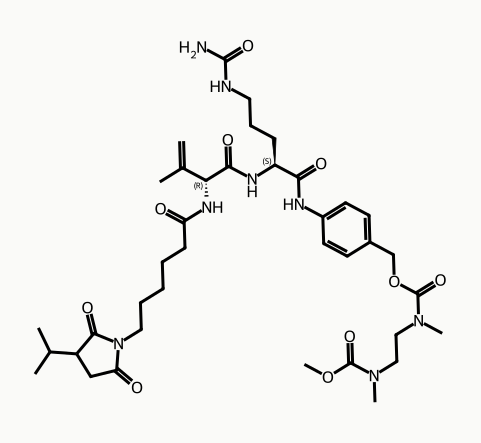 C=C(C)[C@@H](NC(=O)CCCCCN1C(=O)CC(C(C)C)C1=O)C(=O)N[C@@H](CCCNC(N)=O)C(=O)Nc1ccc(COC(=O)N(C)CCN(C)C(=O)OC)cc1